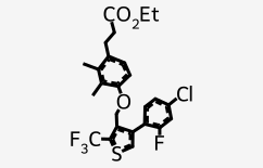 CCOC(=O)CCc1ccc(OCc2c(-c3ccc(Cl)cc3F)csc2C(F)(F)F)c(C)c1C